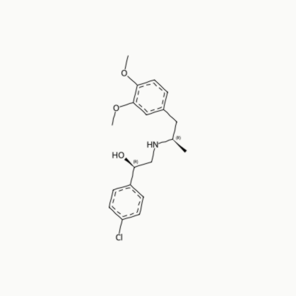 COc1ccc(C[C@@H](C)NC[C@H](O)c2ccc(Cl)cc2)cc1OC